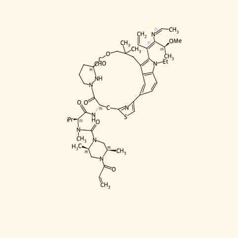 C=CC(=O)N1C[C@@H](C)N(C(=O)N(C)[C@H](C(=O)N[C@H]2Cc3nc(cs3)-c3ccc4c(c3)c(c(/C(C=C)=C(/N=C\C)[C@H](C)OC)n4CC)CC(C)(C)COC[C@@]3(C=O)CCCN(N3)C2=O)C(C)C)C[C@H]1C